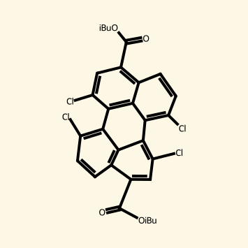 CC(C)COC(=O)c1cc(Cl)c2c3c(Cl)ccc4c(C(=O)OCC(C)C)cc(Cl)c(c5c(Cl)ccc1c52)c43